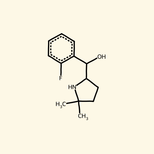 CC1(C)CCC(C(O)c2ccccc2F)N1